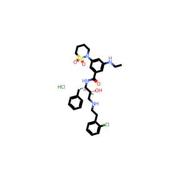 CCNc1cc(C(=O)N[C@@H](Cc2ccccc2)[C@H](O)CNCCc2ccccc2Cl)cc(N2CCCCS2(=O)=O)c1.Cl